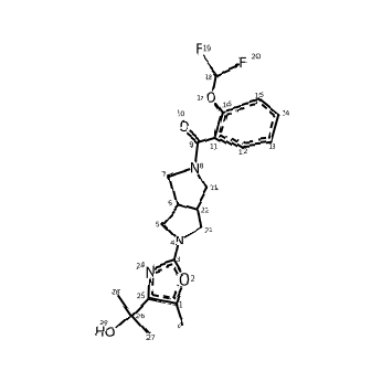 Cc1oc(N2CC3CN(C(=O)c4ccccc4OC(F)F)CC3C2)nc1C(C)(C)O